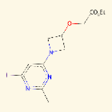 CCOC(=O)COC1CN(c2cc(I)nc(C)n2)C1